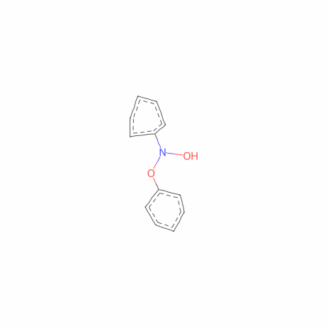 ON(Oc1ccccc1)c1ccccc1